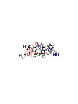 CCOC(=O)Oc1c(OC)cc(C(=O)N2CCC(CCNC(=O)C3(c4ccccc4)CCNCC3)(c3ccc(Cl)c(Cl)c3)C2)cc1OC